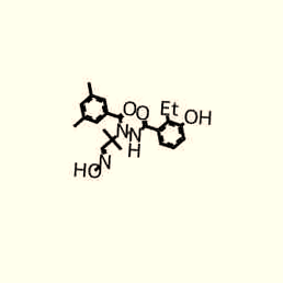 CCc1c(O)cccc1C(=O)NN(C(=O)c1cc(C)cc(C)c1)C(C)(C)/C=N/O